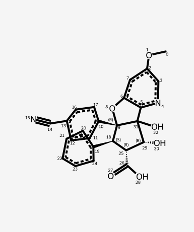 COc1cnc2c(c1)O[C@@]1(c3ccc(C#N)cc3)[C@H](c3ccccc3)[C@@H](C(=O)O)[C@@H](O)C21O